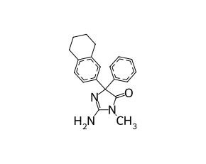 CN1C(=O)C(c2ccccc2)(c2ccc3c(c2)CCCC3)N=C1N